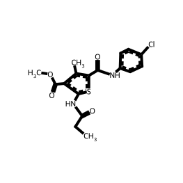 CCC(=O)Nc1sc(C(=O)Nc2ccc(Cl)cc2)c(C)c1C(=O)OC